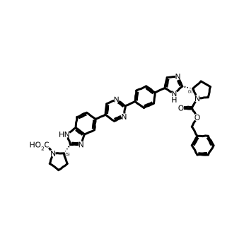 O=C(O)N1CCC[C@H]1c1nc2cc(-c3cnc(-c4ccc(-c5cnc([C@@H]6CCCN6C(=O)OCc6ccccc6)[nH]5)cc4)nc3)ccc2[nH]1